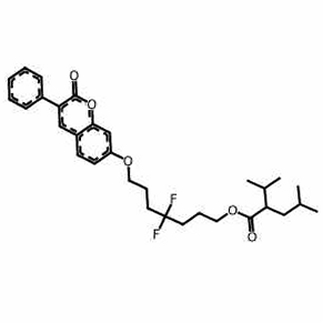 CC(C)CC(C(=O)OCCCC(F)(F)CCCOc1ccc2cc(-c3ccccc3)c(=O)oc2c1)C(C)C